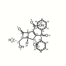 C[C@@H](O)[C@H]1C(=O)N2C(C(=O)O)=C(P(=O)(c3ccccc3)c3ccccc3)[C@H](C)[C@H]12